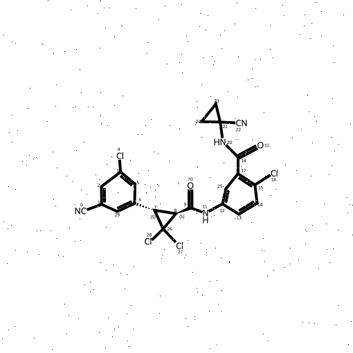 N#Cc1cc(Cl)cc([C@@H]2[C@@H](C(=O)Nc3ccc(Cl)c(C(=O)NC4(C#N)CC4)c3)C2(Cl)Cl)c1